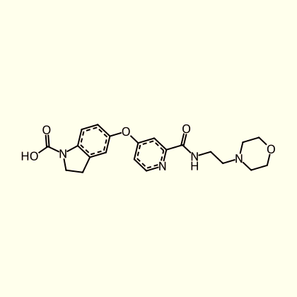 O=C(NCCN1CCOCC1)c1cc(Oc2ccc3c(c2)CCN3C(=O)O)ccn1